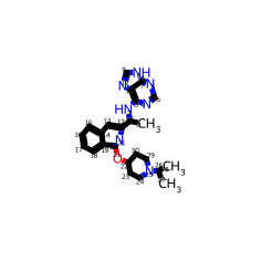 CC(Nc1ncnc2[nH]cnc12)c1cc2ccccc2c(OC2CCN(C(C)C)CC2)n1